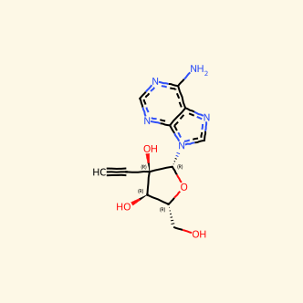 C#C[C@@]1(O)[C@H](O)[C@@H](CO)O[C@H]1n1cnc2c(N)ncnc21